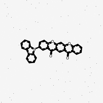 O=c1c2ccccc2oc2cc3oc4ccc(-n5c6ccccc6c6ccccc65)cc4c(=O)c3cc12